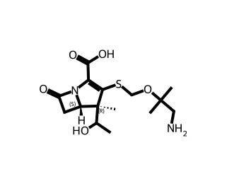 CC(O)[C@]1(C)C(SCOC(C)(C)CN)=C(C(=O)O)N2C(=O)C[C@H]21